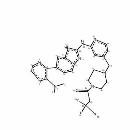 CN(C)c1nccnc1-c1ccc2nc(Nc3cc(CN4CCN(C(=O)CC(F)(F)F)CC4)ccn3)[nH]c2c1